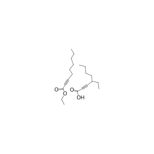 CCCCC(C#CC(=O)O)CC.CCCCCCC#CC(=O)OCC